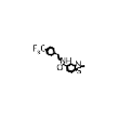 Cc1nc2cc(C(=O)NCCc3ccc(C(F)(F)F)cc3)ccc2s1